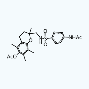 CC(=O)Nc1ccc(S(=O)(=O)NCC2(C)CCc3c(C)c(OC(C)=O)c(C)c(C)c3O2)cc1